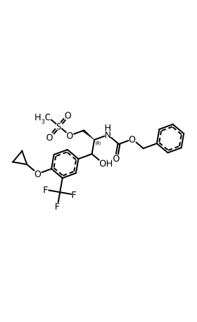 CS(=O)(=O)OC[C@@H](NC(=O)OCc1ccccc1)C(O)c1ccc(OC2CC2)c(C(F)(F)F)c1